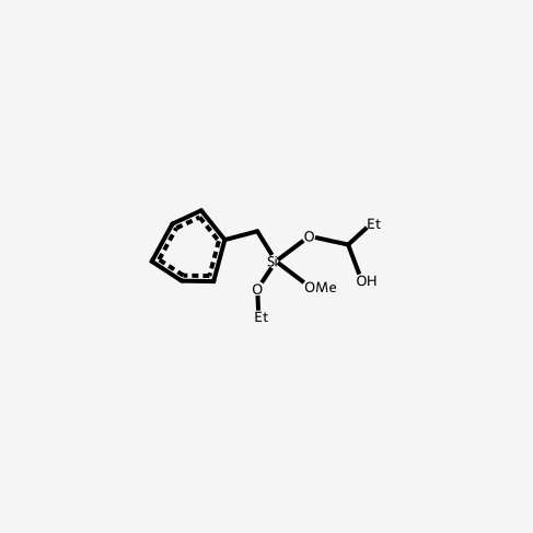 CCO[Si](Cc1ccccc1)(OC)OC(O)CC